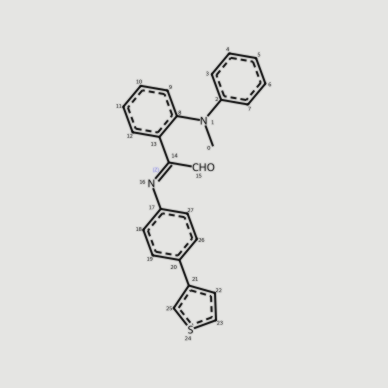 CN(c1ccccc1)c1ccccc1/C(C=O)=N/c1ccc(-c2ccsc2)cc1